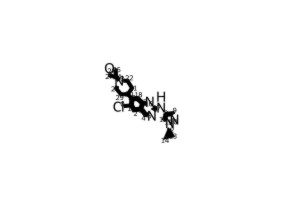 Clc1cc2cnc(Nc3cnn(C4CC4)c3)nc2cc1C1CCN(C2COC2)CC1